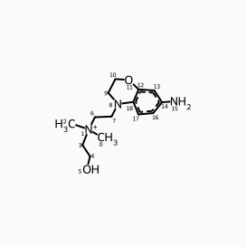 C[N+](C)(CCO)CCN1CCOc2cc(N)ccc21